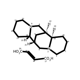 C1CCN2C[C@H]3C[C@@H](CN4CCCC[C@@H]34)[C@H]2C1.O=C(O)/C=C/C(=O)O